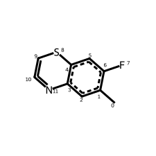 Cc1cc2c(cc1F)SC=C=N2